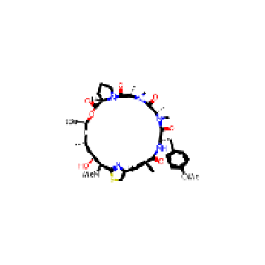 CNC1C2=N[C@@H](/C=C(\C)C(=O)N[C@@H](Cc3ccc(OC)cc3)C(=O)N(C)[C@@H](C)C(=O)N(C)[C@@H](C)C(=O)N3CCC[C@H]3C(=O)O[C@H](C(C)(C)C)C[C@@H](C)C[C@@H]1O)CS2